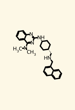 CN(C)c1nc(N[C@H]2CC[C@@H](CNCc3cccc4ccccc34)CC2)nc2ccccc12